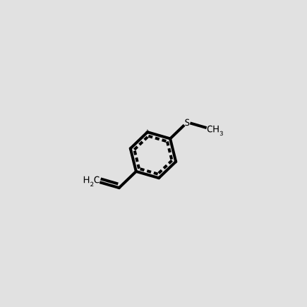 C=Cc1c[c]c(SC)cc1